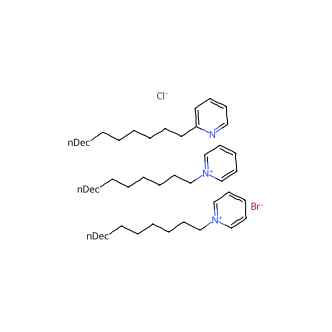 CCCCCCCCCCCCCCCC[n+]1ccccc1.CCCCCCCCCCCCCCCC[n+]1ccccc1.CCCCCCCCCCCCCCCCc1ccccn1.[Br-].[Cl-]